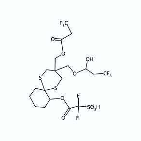 O=C(CC(F)(F)F)OCC1(COC(O)CC(F)(F)F)CSC2(CCCCC2OC(=O)C(F)(F)S(=O)(=O)O)SC1